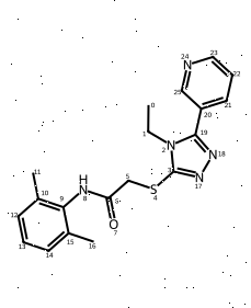 CCn1c(SCC(=O)Nc2c(C)cccc2C)nnc1-c1cccnc1